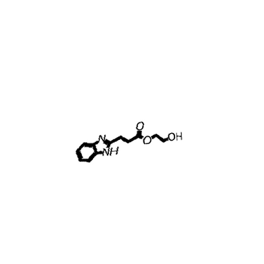 O=C(CCc1nc2ccccc2[nH]1)OCCO